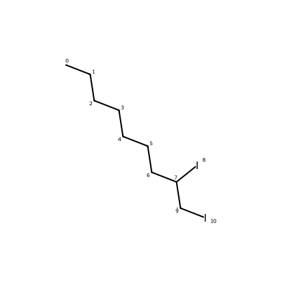 CCCCCCCC(I)[CH]I